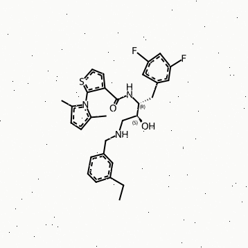 CCc1cccc(CNC[C@H](O)[C@@H](Cc2cc(F)cc(F)c2)NC(=O)c2ccsc2-n2c(C)ccc2C)c1